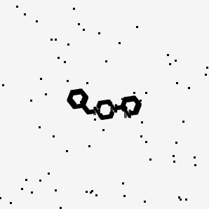 [c]1cccnc1N1CCN(Cc2ccccc2)CC1